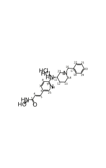 Cl.Cl.O=C(/C=C/c1ccc(N[C@@H]2CCCN(Cc3ccccc3)C2)nc1)NO